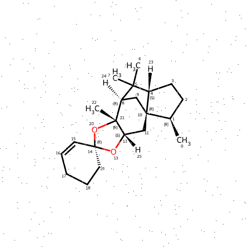 C[C@@H]1CC[C@H]2C(C)(C)[C@H]3C[C@@]12C[C@@H]1O[C@@]2(C=CCCC2)O[C@@]13C